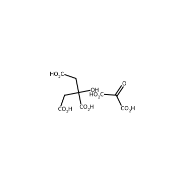 O=C(O)C(=O)C(=O)O.O=C(O)CC(O)(CC(=O)O)C(=O)O